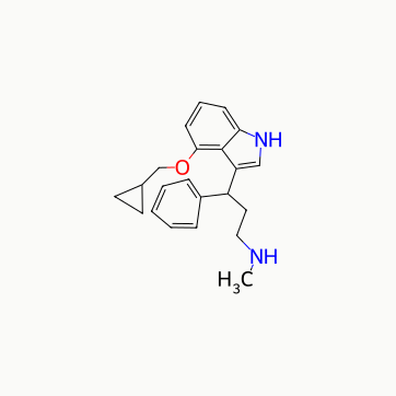 CNCCC(c1ccccc1)c1c[nH]c2cccc(OCC3CC3)c12